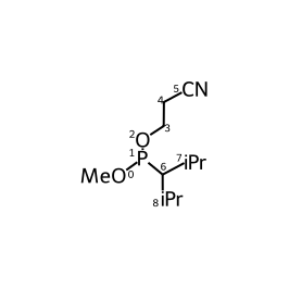 COP(OCCC#N)C(C(C)C)C(C)C